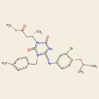 COC(=O)C[C@H](C)n1c(=O)[nH]/c(=N\c2ccc(OC(C)C)c(Br)c2)n(Cc2ccc(C)cc2)c1=O